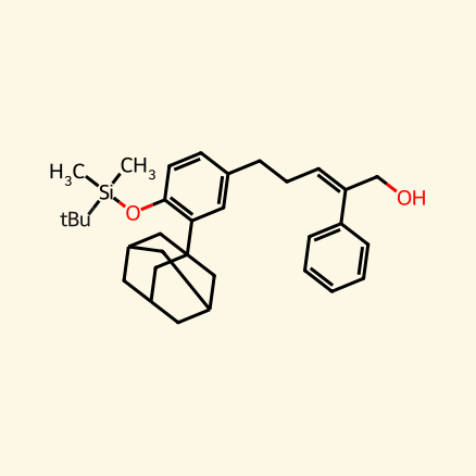 CC(C)(C)[Si](C)(C)Oc1ccc(CCC=C(CO)c2ccccc2)cc1C12CC3CC(CC(C3)C1)C2